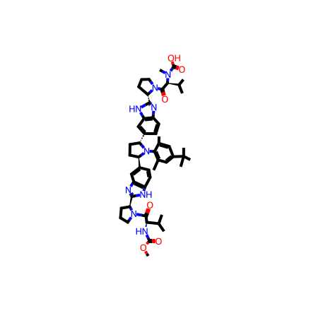 COC(=O)N[C@H](C(=O)N1CCC[C@H]1c1nc2cc([C@H]3CC[C@H](c4ccc5nc([C@@H]6CCCN6C(=O)[C@H](C(C)C)N(C)C(=O)O)[nH]c5c4)N3c3c(C)cc(C(C)(C)C)cc3C)ccc2[nH]1)C(C)C